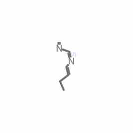 C=N/C=N\C=CCC